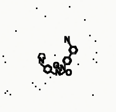 N#Cc1cccc(-c2ccc(N3C(=O)CN(Cc4ccc(CN5CCCC5)cc4)C3=O)cc2)c1